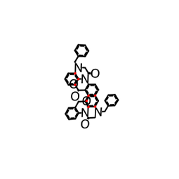 O=C1CN(Cc2ccccc2)CC(=O)N1c1ccccc1C(OC(c1ccccc1)c1ccccc1N1C(=O)CN(Cc2ccccc2)CC1=O)c1ccccc1